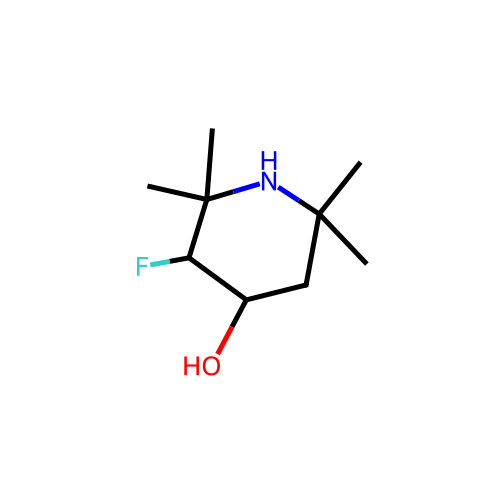 CC1(C)CC(O)C(F)C(C)(C)N1